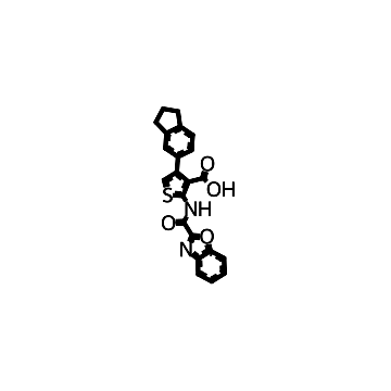 O=C(Nc1scc(-c2ccc3c(c2)CCC3)c1C(=O)O)c1nc2ccccc2o1